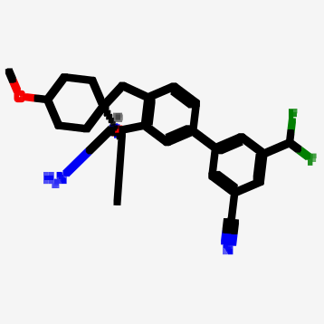 COC1CCC2(CC1)Cc1ccc(-c3cc(C#N)cc(C(F)F)c3)cc1[C@@]21N=C(C)C(N)=N1